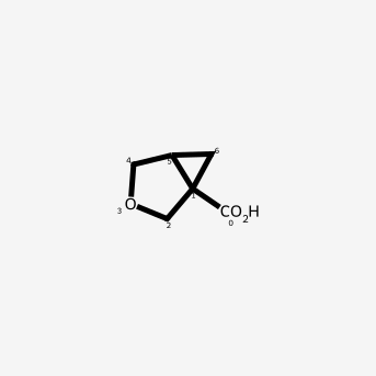 O=C(O)C12COCC1C2